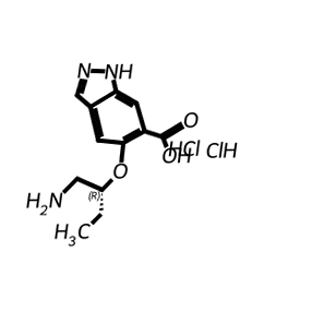 CC[C@H](CN)Oc1cc2cn[nH]c2cc1C(=O)O.Cl.Cl